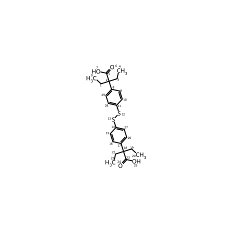 CCC(CC)(C(=O)O)c1ccc(SSc2ccc(C(CC)(CC)C(=O)O)cc2)cc1